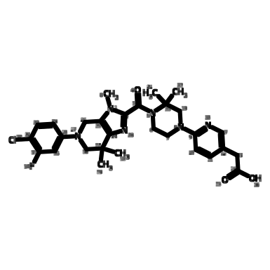 Cn1c(C(=O)N2CCN(c3ccc(CC(=O)O)cn3)CC2(C)C)nc2c1CN(c1ccc(Cl)c(F)c1)CC2(C)C